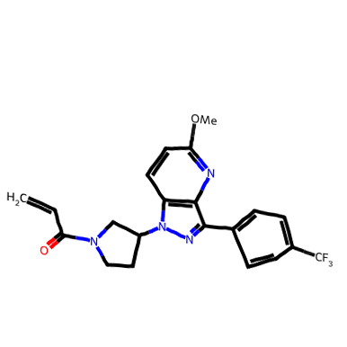 C=CC(=O)N1CCC(n2nc(-c3ccc(C(F)(F)F)cc3)c3nc(OC)ccc32)C1